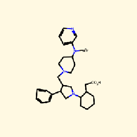 CCCN(c1cccnc1)C1CCN(CC2CN(C3CCCCC3CC(=O)O)CC2c2ccccc2)CC1